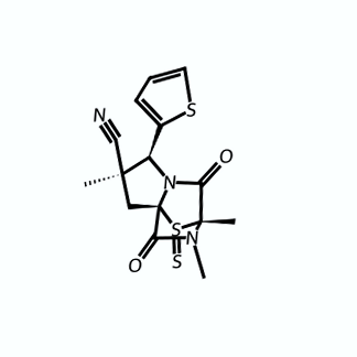 CN1C(=O)[C@]23C[C@@](C)(C#N)[C@@H](c4cccs4)N2C(=O)[C@@]1(C)S3=S